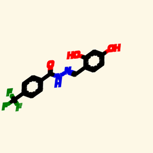 O=C(NN=Cc1ccc(O)cc1O)c1ccc(C(F)(F)F)cc1